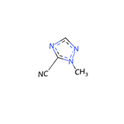 Cn1ncnc1C#N